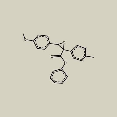 COc1ccc(C2OC2(C(=O)Oc2ccccc2)c2ccc(C)cc2)cc1